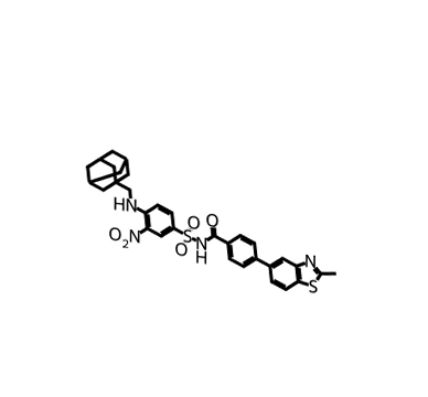 Cc1nc2cc(-c3ccc(C(=O)NS(=O)(=O)c4ccc(NCC56CC7CC(CC(C7)C5)C6)c([N+](=O)[O-])c4)cc3)ccc2s1